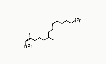 [CH2]CCC=C(C)CCCC(C)CCCC(C)CCCC(C)C